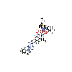 CCSCN(C(=O)OC(C)N1C(=O)Cc2cc(CCN3CCN(c4nsc5ccccc45)CC3)c(Cl)cc21)C(C)(C)C